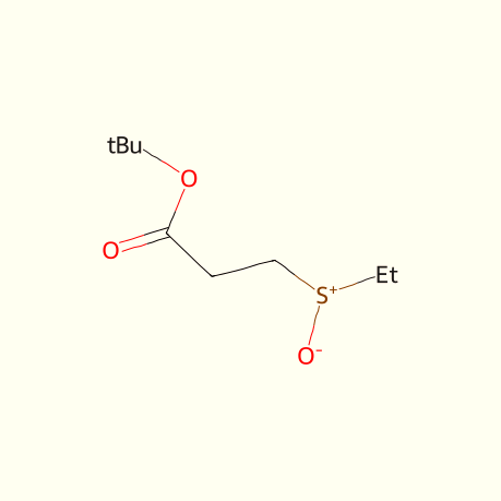 [CH2]C[S+]([O-])CCC(=O)OC(C)(C)C